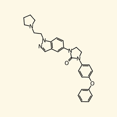 O=C1N(c2ccc(Oc3ccccc3)cc2)CCN1c1ccc2c(cnn2CCN2CCCC2)c1